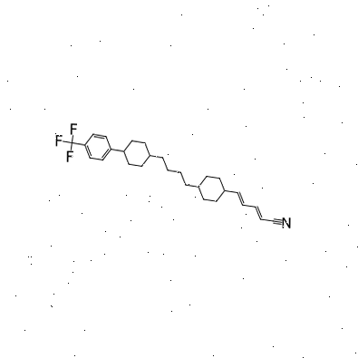 N#CC=CC=CC1CCC(CCCCC2CCC(c3ccc(C(F)(F)F)cc3)CC2)CC1